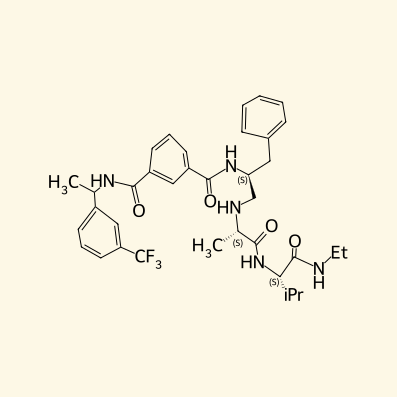 CCNC(=O)[C@@H](NC(=O)[C@H](C)NC[C@H](Cc1ccccc1)NC(=O)c1cccc(C(=O)NC(C)c2cccc(C(F)(F)F)c2)c1)C(C)C